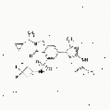 CC(=O)Nc1nc(C)c(-c2cc3c(c(S(=O)(=O)NC4CC(F)(F)C4)c2)C(=O)N([C@@H](C)C2CC2)C3)s1